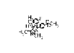 CCc1nn(C)c2nc(-c3ccc(C(=O)OC)cc3)nc(N[C@@H](C)c3ccc(F)cc3)c12